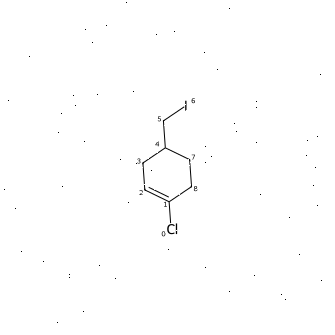 ClC1=CCC(CI)CC1